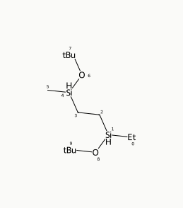 CC[SiH](CC[SiH](C)OC(C)(C)C)OC(C)(C)C